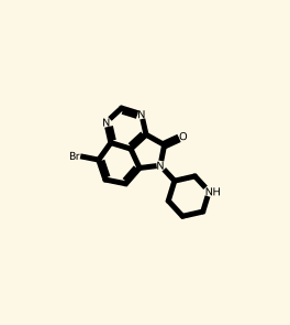 O=C1c2ncnc3c(Br)ccc(c23)N1C1CCCNC1